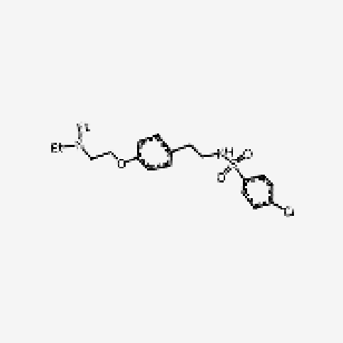 CCN(CC)CCOc1ccc(CCNS(=O)(=O)c2ccc(Cl)cc2)cc1